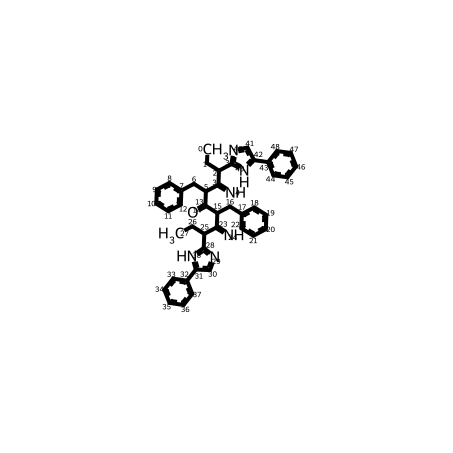 CCC(C(=N)C(Cc1ccccc1)C(=O)C(Cc1ccccc1)C(=N)C(CC)c1ncc(-c2ccccc2)[nH]1)c1ncc(-c2ccccc2)[nH]1